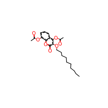 CCCCCCCCCCOc1c(OC(C)=O)c2cccc(OC(C)=O)c2oc1=O